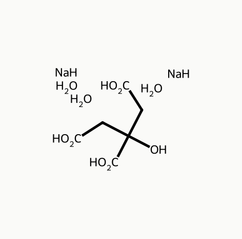 O.O.O.O=C(O)CC(O)(CC(=O)O)C(=O)O.[NaH].[NaH]